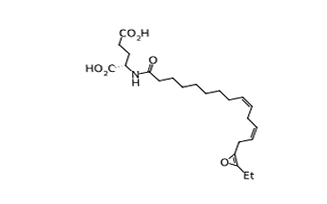 CCC1=C(C/C=C\C/C=C\CCCCCCCC(=O)N[C@@H](CCC(=O)O)C(=O)O)O1